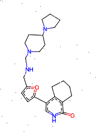 O=c1[nH]cc(-c2ccc(CNCN3CCC(N4CCCC4)CC3)o2)c2c1CCCC2